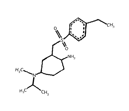 CCc1ccc(S(=O)(=O)CC2CC(N(C)C(C)C)CCC2N)cc1